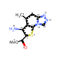 COC(=O)c1sc2c(c(C)cc3nncn32)c1N